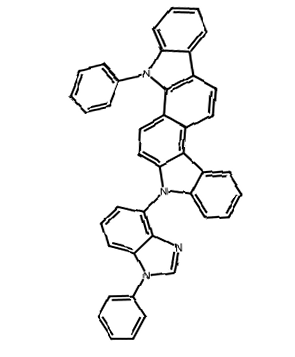 c1ccc(-n2cnc3c(-n4c5ccccc5c5c6ccc7c8ccccc8n(-c8ccccc8)c7c6ccc54)cccc32)cc1